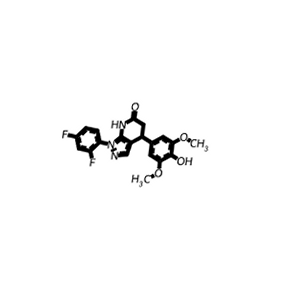 COc1cc(C2CC(=O)Nc3c2cnn3-c2ccc(F)cc2F)cc(OC)c1O